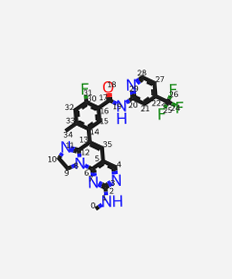 CNc1ncc2c(n1)N1CCN=C1C(c1cc(C(=O)Nc3cc(C(F)(F)F)ccn3)c(F)cc1C)=C2